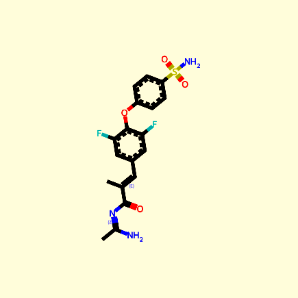 C/C(N)=N/C(=O)/C(C)=C/c1cc(F)c(Oc2ccc(S(N)(=O)=O)cc2)c(F)c1